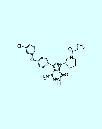 C=CC(=O)N1CCCC(n2cc(-c3ccc(Oc4cccc(Cl)c4)cc3)c3c(N)n[nH]c(=O)c32)C1